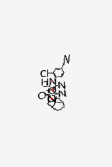 Cc1c(Nc2ccc(C#N)cc2Cl)ncnc1OC1C2CCC1CN(C(=O)OC(C)C)C2